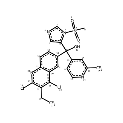 CS(=O)(=O)n1cncc1C(O)(c1ccnc(C(F)(F)F)c1)c1ccc2nc(Cl)c(CC(F)(F)F)c(Cl)c2c1